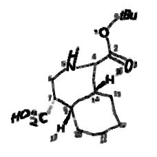 CC(C)(C)OC(=O)C1NC[C@@H](C(=O)O)[C@H]2CCCC[C@@H]12